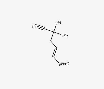 C#CC(C)(O)CC=CCCCCC